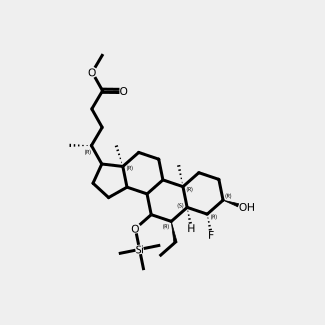 CC[C@H]1C(O[Si](C)(C)C)C2C3CCC([C@H](C)CCC(=O)OC)[C@@]3(C)CCC2[C@@]2(C)CC[C@@H](O)[C@H](F)[C@@H]12